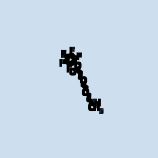 CNCCOCCOCCC(=O)Oc1c(F)c(F)c(F)c(F)c1F